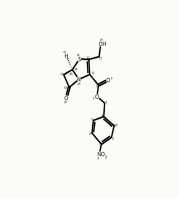 O=C(OCc1ccc([N+](=O)[O-])cc1)C1=C(CO)S[C@@H]2CC(=O)N12